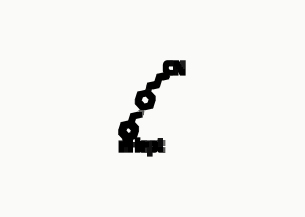 CCCCCCCc1ccc(CC[C@H]2CC[C@H](C=CC=CC#N)CC2)cc1